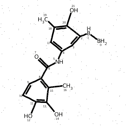 BBc1cc(NC(=O)c2ccc(O)c(O)c2C)cc(C)c1O